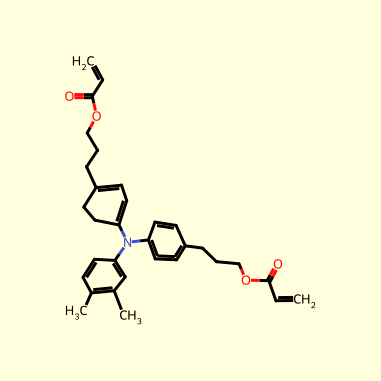 C=CC(=O)OCCCC1=C=C=C(N(C2=CC=C(CCCOC(=O)C=C)CC2)c2ccc(C)c(C)c2)C=C1